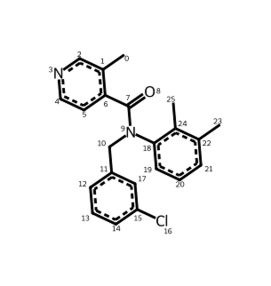 Cc1cnccc1C(=O)N(Cc1cccc(Cl)c1)c1cccc(C)c1C